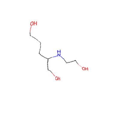 OCCCC(CO)NCCO